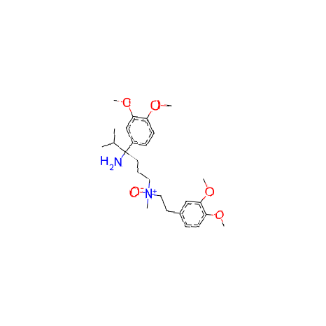 COc1ccc(CC[N+](C)([O-])CCCC(N)(c2ccc(OC)c(OC)c2)C(C)C)cc1OC